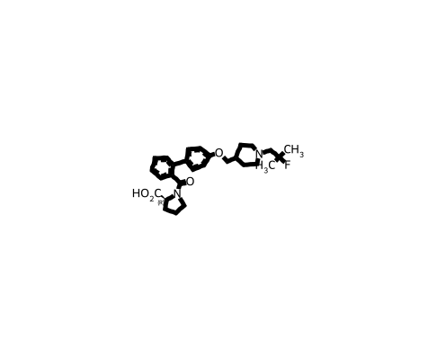 CC(C)(F)CN1CCC(COc2ccc(-c3ccccc3C(=O)N3CCC[C@@H]3C(=O)O)cc2)CC1